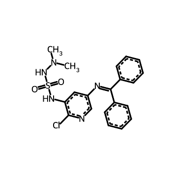 CN(C)NS(=O)(=O)Nc1cc(N=C(c2ccccc2)c2ccccc2)cnc1Cl